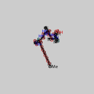 CC[C@@]1(O)C(=O)OCc2c1cc1n(c2=O)Cc2c-1nc1cc(F)c3c(c1c2CNC(=O)[C@H](OCNC(=O)CNC(=O)[C@H](Cc1ccccc1)NC(=O)CNC(=O)CNC(=O)CCCOc1c(F)cc(N2C(=O)C=CC2=O)cc1C(=O)NCCOCCOCCOCCOCCOCCOCCOCCOC)C1CC1)CCC3